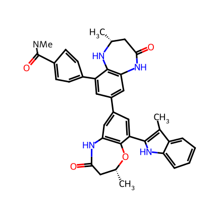 CNC(=O)c1ccc(-c2cc(-c3cc4c(c(-c5[nH]c6ccccc6c5C)c3)O[C@H](C)CC(=O)N4)cc3c2N[C@H](C)CC(=O)N3)cc1